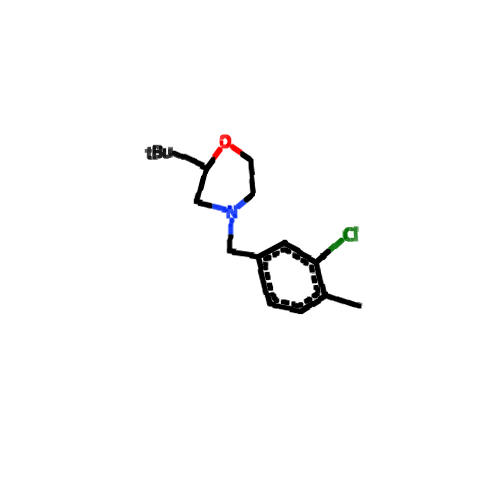 Cc1ccc(CN2CCOC(C(C)(C)C)C2)cc1Cl